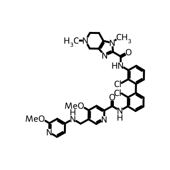 COc1cc(NCc2cnc(C(=O)Nc3cccc(-c4cccc(NC(=O)c5nc6c(n5C)CCN(C)C6)c4Cl)c3Cl)cc2OC)ccn1